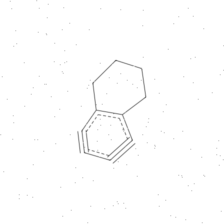 c1c#cc2c(c#1)CCCC2